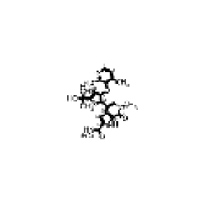 Cc1ccnc(C)c1Oc1c(-c2cn(C)c(=O)c3[nH]c(C(=O)NC(C)C)cc23)sc(C(C)(C)O)c1C